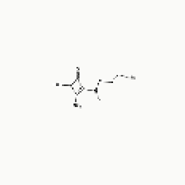 CN(CCCC(C)(C)C)C1=C(N)C(O)C1=S